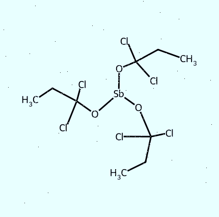 CCC(Cl)(Cl)[O][Sb]([O]C(Cl)(Cl)CC)[O]C(Cl)(Cl)CC